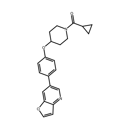 O=C(C1CC1)N1CCC(Oc2ccc(-c3cnc4ccoc4c3)cc2)CC1